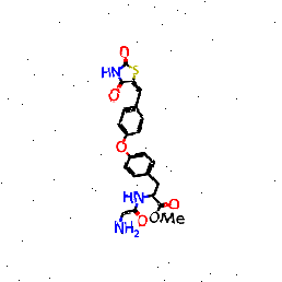 COC(=O)C(Cc1ccc(Oc2ccc(/C=C3/SC(=O)NC3=O)cc2)cc1)NC(=O)CN